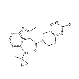 Cc1oc2ncnc(NC3(C)CC3)c2c1C(=O)N1CCc2nc(Cl)ncc2C1